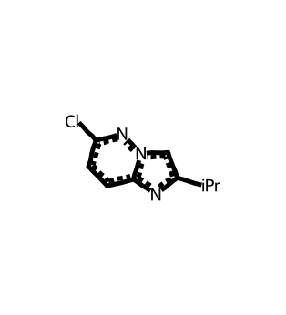 CC(C)c1cn2nc(Cl)ccc2n1